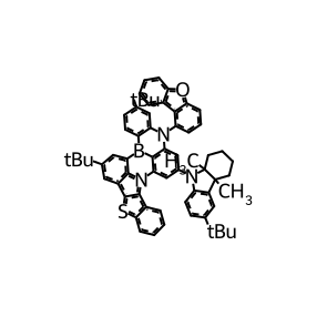 CC(C)(C)c1ccc2c(c1)N(c1cccc3oc4ccccc4c13)c1cc(N3c4ccc(C(C)(C)C)cc4C4(C)CCCCC34C)cc3c1B2c1cc(C(C)(C)C)cc2c4sc5ccccc5c4n-3c12